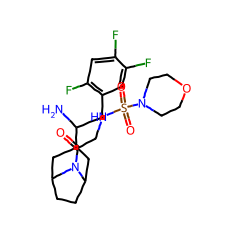 NC(Cc1cc(F)c(F)cc1F)C1CC2CCC(C1)N2C(=O)CNS(=O)(=O)N1CCOCC1